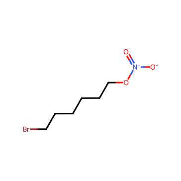 O=[N+]([O-])OCCCCCCBr